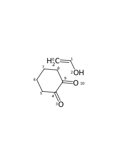 C=CO.O=C1CCCCC1=O